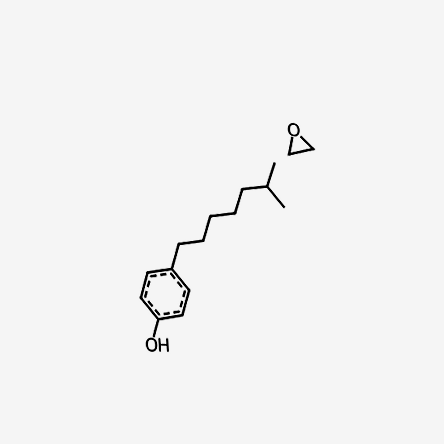 C1CO1.CC(C)CCCCCc1ccc(O)cc1